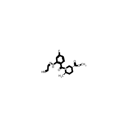 COC(=O)[C@@H]1CC[C@@H](C)N(C(=O)c2ccc(F)cc2N/N=C\C=N)C1